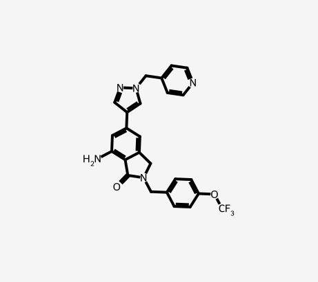 Nc1cc(-c2cnn(Cc3ccncc3)c2)cc2c1C(=O)N(Cc1ccc(OC(F)(F)F)cc1)C2